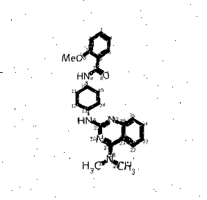 COc1ccccc1C(=O)N[C@H]1CC[C@@H](Nc2nc(N(C)C)c3ccccc3n2)CC1